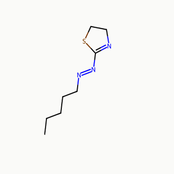 CCCCCN=NC1=NCCS1